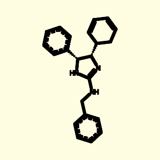 C1=CCC([C@@H]2N=C(NCc3ccccc3)N[C@@H]2c2ccccc2)C=C1